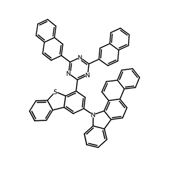 c1ccc2cc(-c3nc(-c4ccc5ccccc5c4)nc(-c4cc(-n5c6ccccc6c6ccc7c8ccccc8ccc7c65)cc5c4sc4ccccc45)n3)ccc2c1